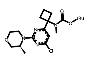 C[C@H]1COCCN1c1nc(Cl)cc(C2(N(C)C(=O)OC(C)(C)C)CCC2)n1